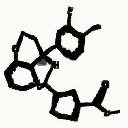 COC(=O)c1cccc(C(=O)N[C@]2(c3ccc(C)c(F)c3)CCOc3cccnc32)c1